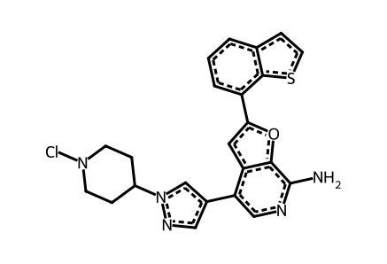 Nc1ncc(-c2cnn(C3CCN(Cl)CC3)c2)c2cc(-c3cccc4ccsc34)oc12